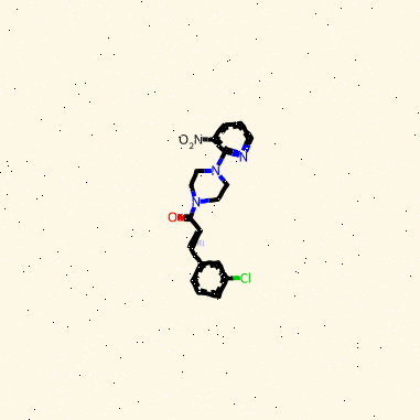 O=C(/C=C/c1cccc(Cl)c1)N1CCN(c2ncccc2[N+](=O)[O-])CC1